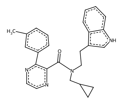 Cc1cccc(-c2nccnc2C(=O)N(CCc2c[nH]c3ccccc23)CC2CC2)c1